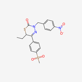 CCC1SC(=O)N(Cc2ccc([N+](=O)[O-])cc2)N=C1c1ccc(S(C)(=O)=O)cc1